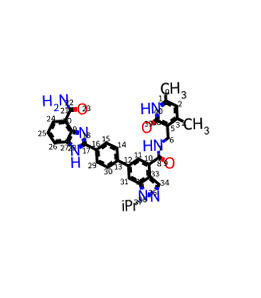 Cc1cc(C)c(CNC(=O)c2cc(-c3ccc(-c4nc5c(C(N)=O)cccc5[nH]4)cc3)cc3c2cnn3C(C)C)c(=O)[nH]1